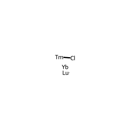 [Cl][Tm].[Lu].[Yb]